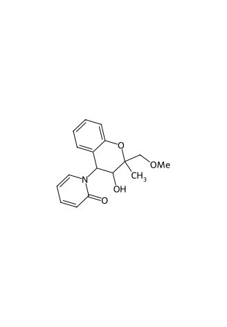 COCC1(C)Oc2ccccc2C(n2ccccc2=O)C1O